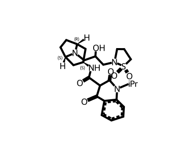 CC(C)N1C(=O)C(C(=O)N[C@@H]2C[C@H]3CC[C@@H](C2)N3CC(O)CN2CCCS2(=O)=O)C(=O)c2ccccc21